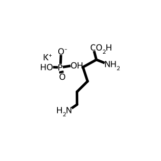 NCCCCC(N)C(=O)O.O=P([O-])(O)O.[K+]